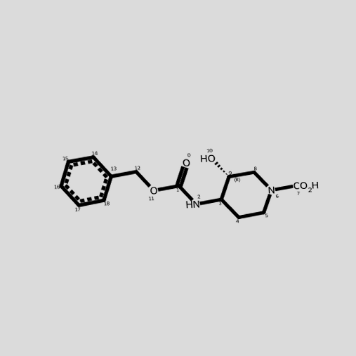 O=C(NC1CCN(C(=O)O)C[C@H]1O)OCc1ccccc1